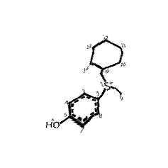 C[S+](c1ccc(O)cc1)C1CCCCC1